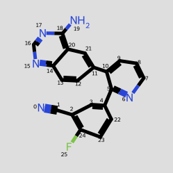 N#Cc1cc(-c2ncccc2-c2ccc3ncnc(N)c3c2)ccc1F